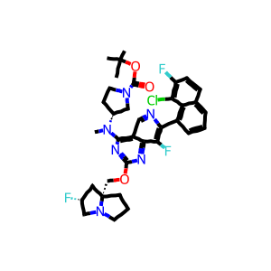 CN(c1nc(OC[C@]23CCCN2C[C@H](F)C3)nc2c(F)c(-c3cccc4ccc(F)c(Cl)c34)ncc12)[C@@H]1CCN(C(=O)OC(C)(C)C)C1